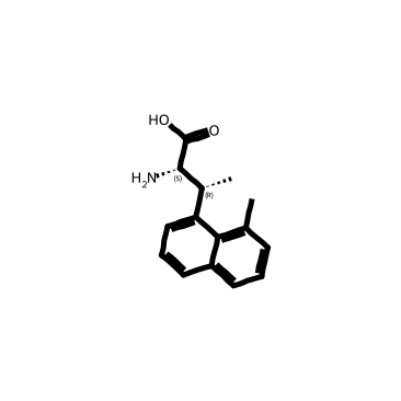 Cc1cccc2cccc([C@@H](C)[C@H](N)C(=O)O)c12